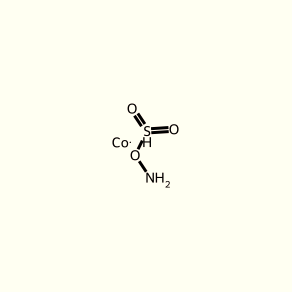 NO[SH](=O)=O.[Co]